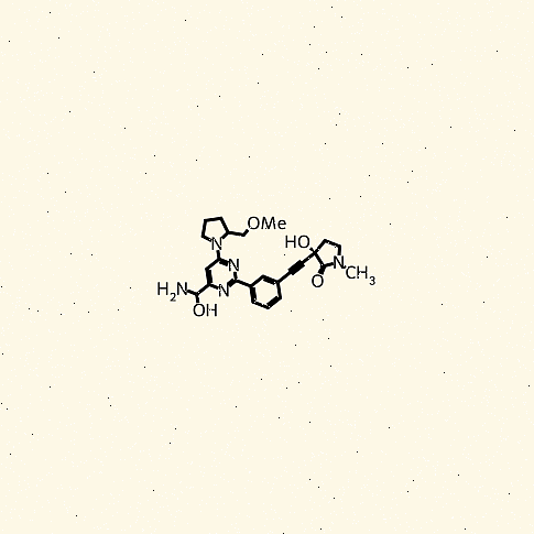 COCC1CCCN1c1cc(C(N)O)nc(-c2cccc(C#C[C@]3(O)CCN(C)C3=O)c2)n1